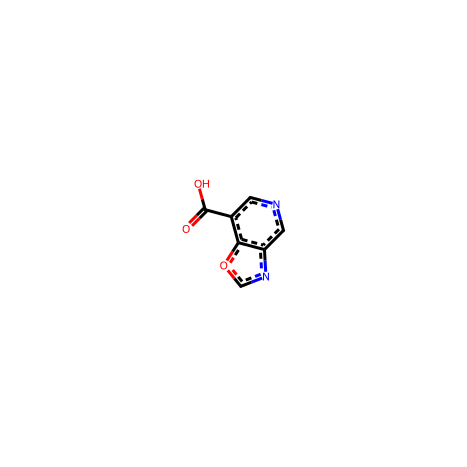 O=C(O)c1cncc2ncoc12